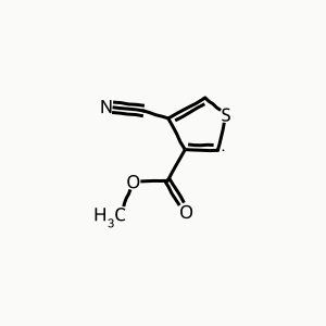 COC(=O)c1[c]scc1C#N